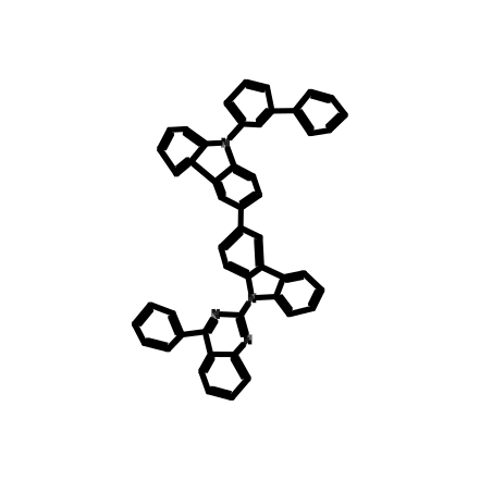 c1ccc(-c2cccc(-n3c4ccccc4c4cc(-c5ccc6c(c5)c5ccccc5n6-c5nc(-c6ccccc6)c6ccccc6n5)ccc43)c2)cc1